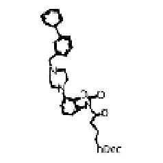 CCCCCCCCCCCCCC(=O)n1c(=O)oc2c(N3CCN(Cc4cccc(-c5ccccc5)c4)CC3)cccc21